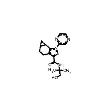 CC(C)(CO)NC(=O)c1nn(-c2cnccn2)c2c1CCC1CC21